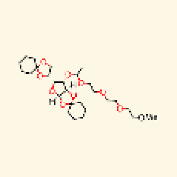 COCCOCCOCCOC(C)O[C@@H]1[C@H]2OC3(CCCCC3)O[C@H]2O[C@@H]1C1COC2(CCCCC2)O1